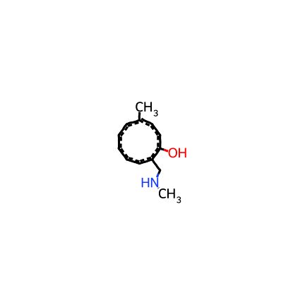 CNCc1cccccc(C)ccc1O